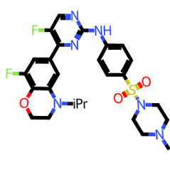 CC(C)N1CCOc2c(F)cc(-c3nc(Nc4ccc(S(=O)(=O)N5CCN(C)CC5)cc4)ncc3F)cc21